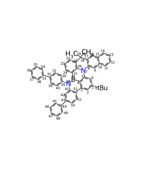 CC(C)(C)c1cc2c3c(c1)N1c4cc5ccccc5cc4C(C)(C)c4cccc(c41)B3N(c1ccc(-c3ccccc3)cc1)c1cc(-c3ccccc3)ccc1-2